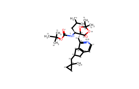 CC(C)C[C@H](NC(=O)OC(C)(C)C)[C@@]1(Cc2nccc3c2CC(CC2(C)CC2)C3)OC(C)(C)OC1=O